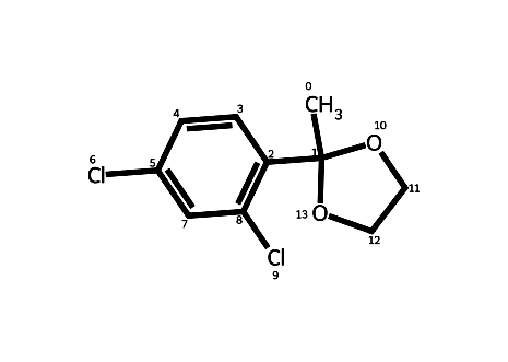 CC1(c2ccc(Cl)cc2Cl)OCCO1